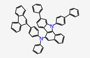 c1ccc(-c2ccc(-n3c4cc(-c5ccccc5)ccc4c4c(N(c5ccccc5)c5ccc(-c6cc7ccccc7c7ccccc67)cc5)cc5ccccc5c43)cc2)cc1